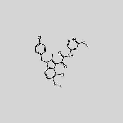 COc1cc(NC(=O)C(=O)c2c(C)n(Cc3ccc(Cl)cc3)c3ccc(N)c(Cl)c23)ccn1